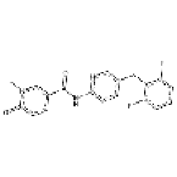 Cn1cc(C(=O)Nc2ccc(Cc3c(F)cccc3F)cn2)ccc1=O